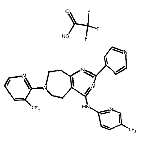 FC(F)(F)c1ccc(Nc2nc(-c3ccncc3)nc3c2CCN(c2ncccc2C(F)(F)F)CC3)nc1.O=C(O)C(F)(F)F